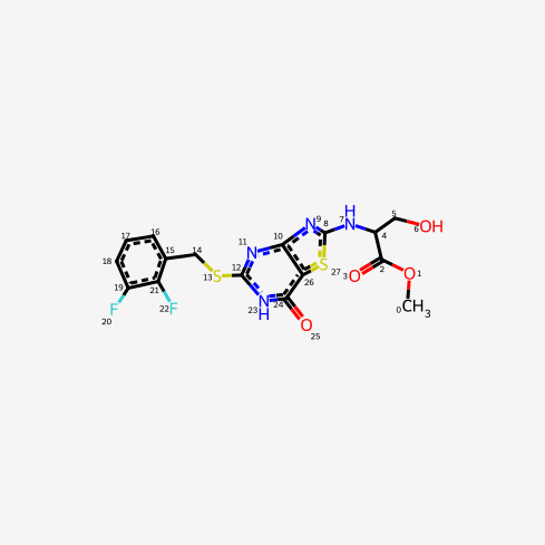 COC(=O)C(CO)Nc1nc2nc(SCc3cccc(F)c3F)[nH]c(=O)c2s1